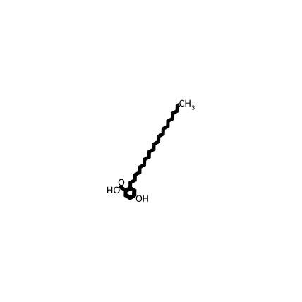 CCCCCCCCCCCCCCCCCCCCCCc1cc(O)ccc1C(=O)O